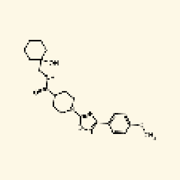 COc1ccc(-c2noc(N3CCC(C(=O)NCC4(O)CCCCC4)CC3)n2)cc1